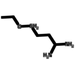 CCO[SiH2]CCC(N)N